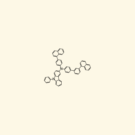 c1ccc(-n2c3ccccc3c3cc(N(c4ccc(-c5cccc(-c6cccc7ccccc67)c5)cc4)c4ccc(-c5cccc6ccccc56)cc4)ccc32)cc1